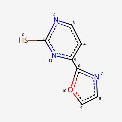 Sc1nccc(-c2ncco2)n1